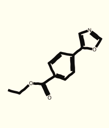 CCOC(=O)c1ccc(-c2cnco2)cc1